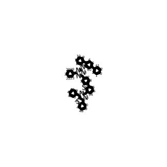 c1ccc(-c2ccc3c4ccccc4n(-c4nc(-c5ccccc5)nc(-c5ccc6c(c5)sc5c(-c7nc(-c8ccccc8)c8sc9ccccc9c8n7)cccc56)n4)c3c2)cc1